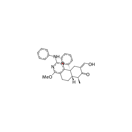 COc1nc(Nc2ccccc2)nc2c1CC[C@H]1[C@H](C)C(=O)/C(=C\O)C[C@]21c1ccccc1